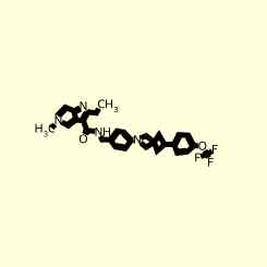 CCc1nc2ccn(C)cc-2c1C(=O)NCc1ccc(N2CC3(CC(c4ccc(OC(F)(F)F)cc4)C3)C2)cc1